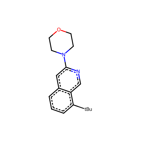 CC(C)(C)c1cccc2cc(N3CCOCC3)ncc12